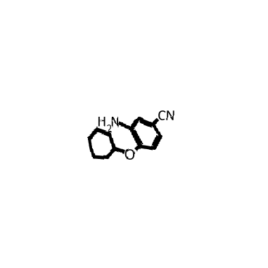 N#Cc1ccc(OC2CCCCC2)c(N)c1